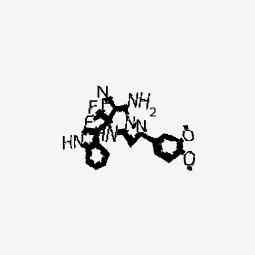 COc1ccc(-c2cc3n(n2)C(N)=C(C#N)C(c2c[nH]c4ccccc24)(C(F)(F)F)N3)cc1OC